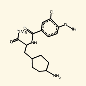 CNC(=O)C(CC1CCC(N)CC1)NC(=O)c1ccc(OC(C)C)c(Cl)c1